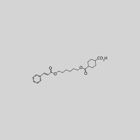 O=C(/C=C/c1ccccc1)OCCCCCCOC(=O)C1CCC(C(=O)O)CC1